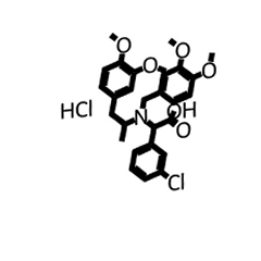 COc1ccc(CC(C)N(Cc2ccc(OC)c(OC)c2)C(C(=O)O)c2cccc(Cl)c2)cc1OC.Cl